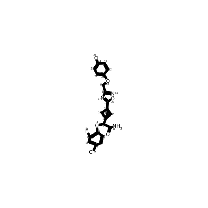 NC(=O)C(Oc1ccc(Cl)cc1F)C12CC(c3nc(COc4ccc(Cl)cc4)no3)(C1)C2